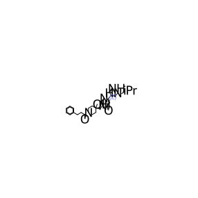 CC(C)CN/C=C(\C=N)c1cc(=O)n(CC2(O)CCN(C(=O)CCc3ccccc3)CC2)cn1